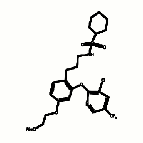 COCCOc1ccc(CCCNS(=O)(=O)C2CCCCC2)c(Oc2ncc(C(F)(F)F)cc2Cl)c1